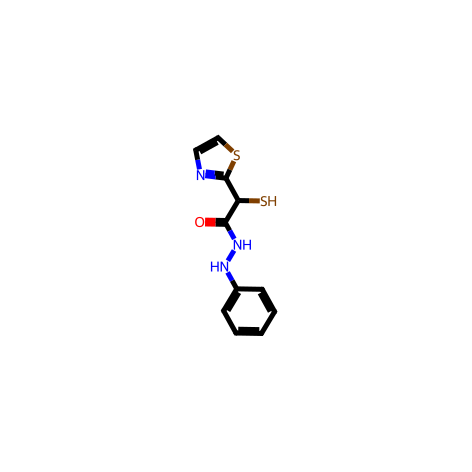 O=C(NNc1ccccc1)C(S)c1nccs1